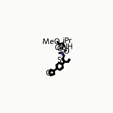 C=Cc1c(/C=C(\C)S(=O)(=O)N[C@H](C(=O)OC)C(C)C)sc2cc(-c3ccoc3)ccc12